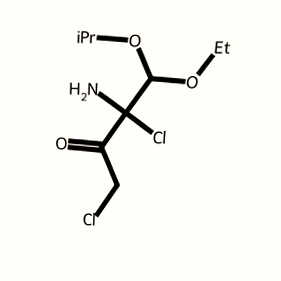 CCOC(OC(C)C)C(N)(Cl)C(=O)CCl